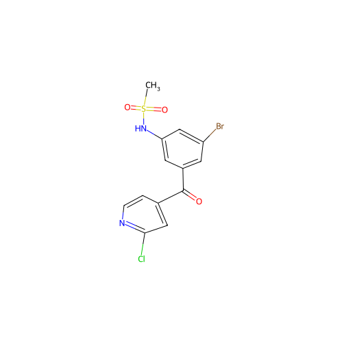 CS(=O)(=O)Nc1cc(Br)cc(C(=O)c2ccnc(Cl)c2)c1